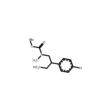 CN(CC(CC(=O)O)c1ccc(Cl)cc1)C(=O)OC(C)(C)C